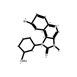 COC1CCCC(n2c(=O)n(C)c3cnc4ccc(Br)cc4c32)C1